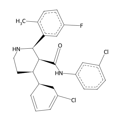 Cc1ccc(F)cc1[C@@H]1NCC[C@H]([C@@H]2C=CC=C(Cl)C2)[C@@H]1C(=O)Nc1cccc(Cl)c1